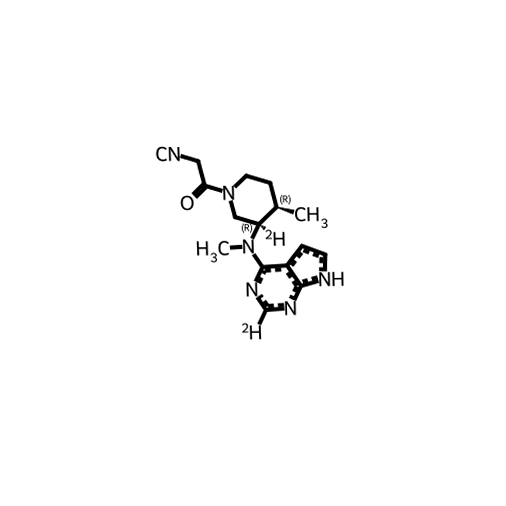 [2H]c1nc(N(C)[C@@]2([2H])CN(C(=O)C[N+]#[C-])CC[C@H]2C)c2cc[nH]c2n1